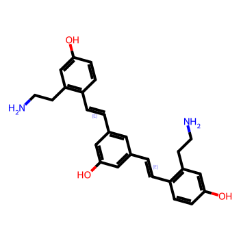 NCCc1cc(O)ccc1/C=C/c1cc(O)cc(/C=C/c2ccc(O)cc2CCN)c1